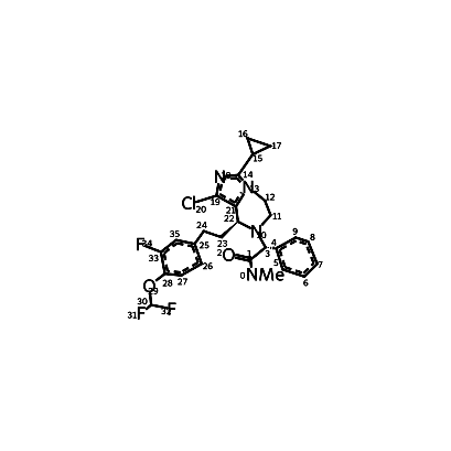 CNC(=O)[C@@H](c1ccccc1)N1CCn2c(C3CC3)nc(Cl)c2[C@@H]1CCc1ccc(OC(F)F)c(F)c1